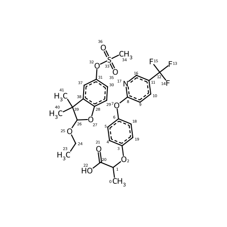 CC(Oc1ccc(Oc2ccc(C(F)(F)F)cn2)cc1)C(=O)O.CCOC1Oc2ccc(OS(C)(=O)=O)cc2C1(C)C